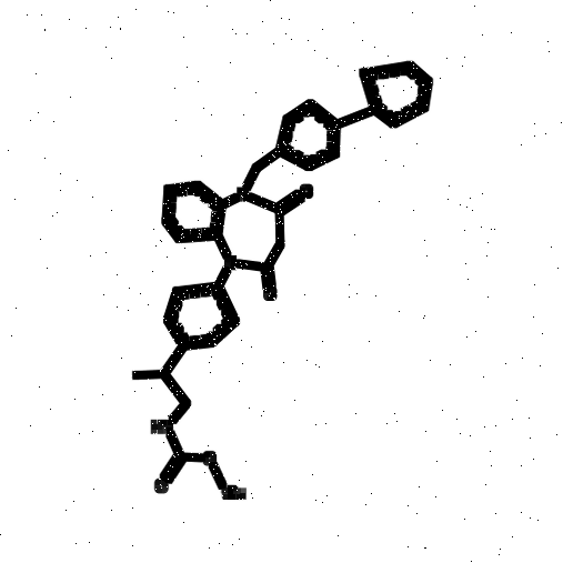 CC(CNC(=O)OC(C)(C)C)c1ccc(N2C(=O)CC(=O)N(Cc3ccc(-c4ccccc4)cc3)c3ccccc32)cc1